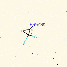 O=[C]N[C@@H]1CC1(F)F